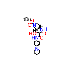 CC(C)(C)OC(=O)N1CC[C@@H]2NC(=O)C(C(=O)Nc3ccc(N4CCCCC4)cc3)=C(O)[C@H]2C1